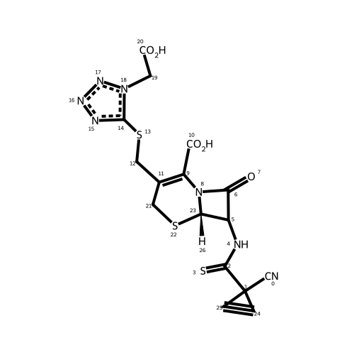 N#CC1(C(=S)NC2C(=O)N3C(C(=O)O)=C(CSc4nnnn4CC(=O)O)CS[C@@H]23)C#C1